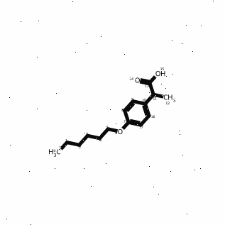 CCCCCCOc1ccc(C(C)C(=O)O)cc1